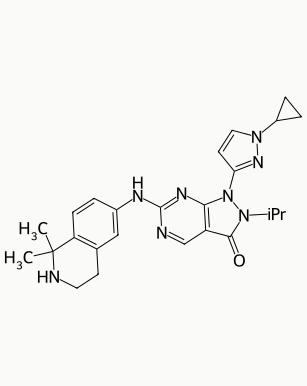 CC(C)n1c(=O)c2cnc(Nc3ccc4c(c3)CCNC4(C)C)nc2n1-c1ccn(C2CC2)n1